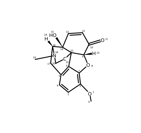 COc1ccc2c3c1O[C@H]1C(=O)C=C[C@@]4(O)[C@@H](C2)N(C)CCC314